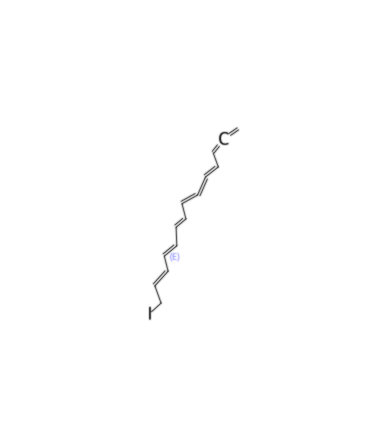 C=C=CC=C=C=CC=C/C=C/C=CCI